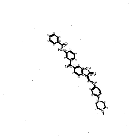 CN1CCN(c2ccc(NC=C3C(=O)Nc4cc(C(=O)c5cccc(NC(=O)c6ccccc6)c5)ccc43)cc2)CC1